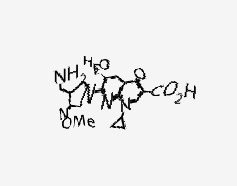 CO/N=C1\CN(c2nc3c(cc2F)c(=O)c(C(=O)O)cn3C2CC2)CC1CN.O